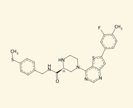 CSc1ccc(CNC(=O)[C@@H]2CN(c3ncnc4cc(-c5ccc(C)c(F)c5)sc34)CCN2)cc1